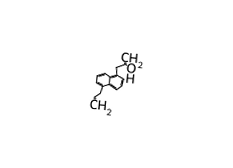 C=CCc1cccc2c(CC(=C)O)cccc12